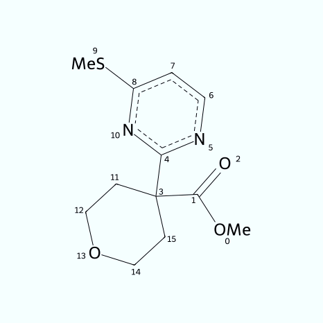 COC(=O)C1(c2nccc(SC)n2)CCOCC1